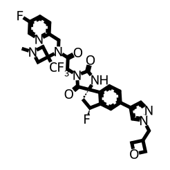 CN1CC(N(Cc2ccc(F)cn2)C(=O)CN2C(=O)N[C@]3(C[C@@H](F)c4cc(-c5cnn(CC6COC6)c5)ccc43)C2=O)(C(F)(F)F)C1